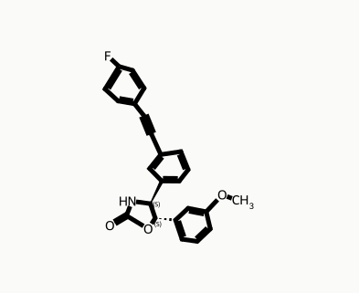 COc1cccc([C@@H]2OC(=O)N[C@H]2c2cccc(C#Cc3ccc(F)cc3)c2)c1